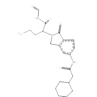 CCCC(C(=O)NC=O)N1Cc2cc(NC(=O)CC3CCCCC3)ccc2C1=O